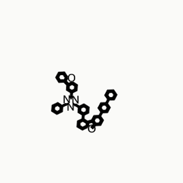 c1ccc(-c2ccc(-c3ccc4oc5cccc(-c6cccc(-c7nc(-c8ccccc8)nc(-c8ccc9oc%10ccccc%10c9c8)n7)c6)c5c4c3)cc2)cc1